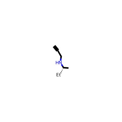 C#CCN[C@H](C)CC